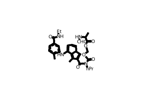 CCCN(C(=O)OCOC(=O)C(C)NC=O)C(=O)C1=CC2C=CC=C(Nc3cc(C(=O)NCC)ccc3C)C2=C1C